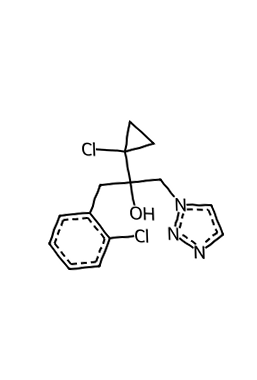 OC(Cc1ccccc1Cl)(Cn1ccnn1)C1(Cl)CC1